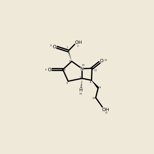 O=C(O)[C@H]1C(=O)C[C@@H]2[C@H](CCO)C(=O)N12